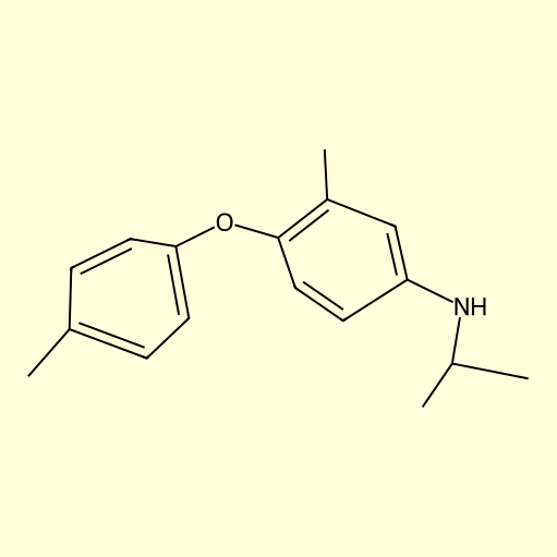 Cc1ccc(Oc2ccc(NC(C)C)cc2C)cc1